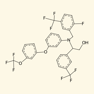 OCC(c1cccc(C(F)(F)F)c1)N(Cc1cc(C(F)(F)F)ccc1F)c1cccc(Oc2cccc(OC(F)(F)F)c2)c1